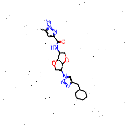 Cc1cc(C(=O)NC2COC3C2OCC3n2cc(CC3CCCCC3)nn2)n[nH]1